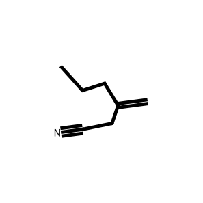 C=C(CC#N)CCC